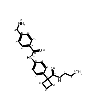 CCCNC(=O)C1(c2ccc(NC(=O)c3ccc(CN)cc3)cc2)CCC1